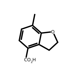 Cc1ccc(C(=O)O)c2c1OCC2